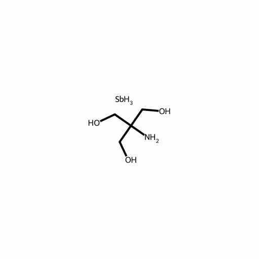 NC(CO)(CO)CO.[SbH3]